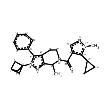 CC1c2nn(C34CC(C3)C4)c(-c3ccccc3)c2CCN1C(=O)c1cnn(C)c1C1CC1